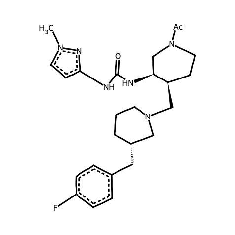 CC(=O)N1CC[C@@H](CN2CCC[C@@H](Cc3ccc(F)cc3)C2)[C@@H](NC(=O)Nc2ccn(C)n2)C1